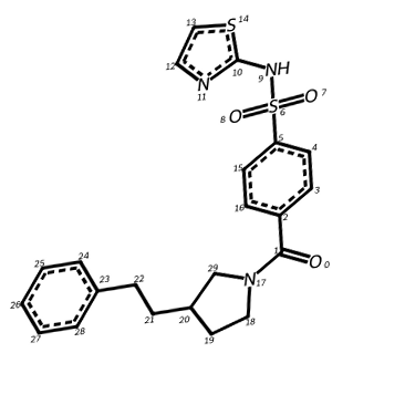 O=C(c1ccc(S(=O)(=O)Nc2nccs2)cc1)N1CCC(CCc2ccccc2)C1